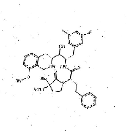 CCCOc1cccc2c1CN[C@@H]([C@@H](O)[C@H](Cc1cc(F)cc(F)c1)NC(=O)[C@H](CCc1ccccc1)N1CC[C@](NC(C)=O)(C(C)CC)C1=O)C2